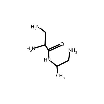 CC(CN)NC(=O)C(N)CN